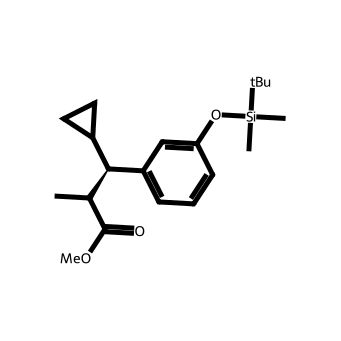 COC(=O)C(C)[C@H](c1cccc(O[Si](C)(C)C(C)(C)C)c1)C1CC1